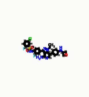 CCn1nc(-c2ccc(NS(=O)(=O)c3cc(Cl)ccc3F)c(F)c2)c2c(N)ncc(C3=CCC(NC4COC4)CC3)c21